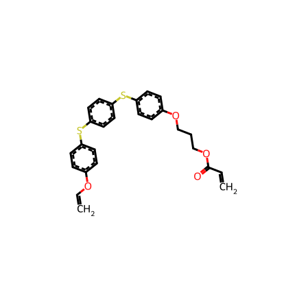 C=COc1ccc(Sc2ccc(Sc3ccc(OCCCOC(=O)C=C)cc3)cc2)cc1